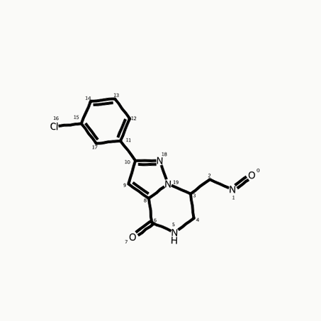 O=NCC1CNC(=O)c2cc(-c3cccc(Cl)c3)nn21